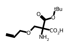 C=CCOCC(N)(C(=O)O)C(=O)OC(C)(C)C